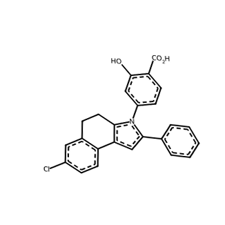 O=C(O)c1ccc(-n2c(-c3ccccc3)cc3c2CCc2cc(Cl)ccc2-3)cc1O